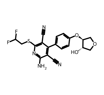 N#Cc1c(N)nc(SCC(F)F)c(C#N)c1-c1ccc(O[C@H]2COC[C@@H]2O)cc1